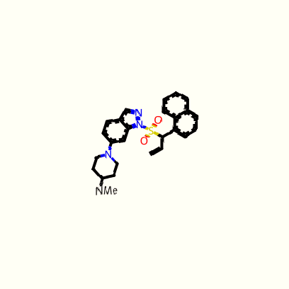 C=CC(c1cccc2ccccc12)S(=O)(=O)n1ncc2ccc(N3CCC(NC)CC3)cc21